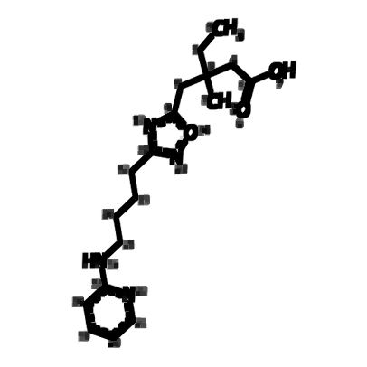 CCC(C)(CC(=O)O)Cc1nc(CCCCNc2ccccn2)no1